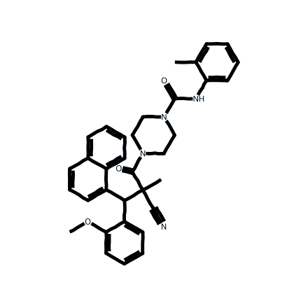 COc1ccccc1C(c1cccc2ccccc12)C(C)(C#N)C(=O)N1CCN(C(=O)Nc2ccccc2C)CC1